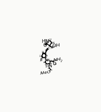 COCCNc1ccc(-c2cc(C#C[C@@]3(CO)CCNC3=O)ccc2F)nc1C(N)=O